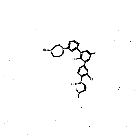 CN(C)/C=C\N(C=O)c1ccc(-c2cc(F)cc(-c3cccc(N4CCCN(C(C)(C)C)CC4)c3)c2O)cc1Cl